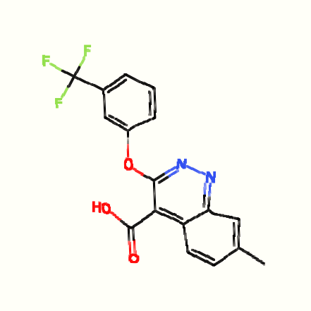 Cc1ccc2c(C(=O)O)c(Oc3cccc(C(F)(F)F)c3)nnc2c1